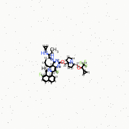 C#Cc1c(F)ccc2cccc(-c3nc4c5c(nc(OC[C@@]67CCCN6[C@H](COC(C6CC6)C(F)(F)F)CC7)nc5c3F)N[C@@H]([C@H](CC)NC3CC3)CCC4)c12